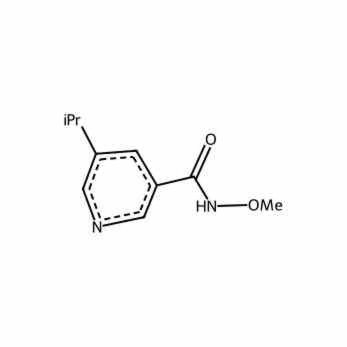 CONC(=O)c1cncc(C(C)C)c1